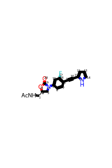 CC(=O)NC[C@H]1CN(c2ccc(C#Cc3ccc[nH]3)c(F)c2)C(=O)O1